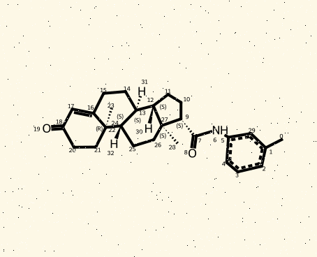 Cc1cccc(NC(=O)[C@H]2CC[C@H]3[C@@H]4CCC5=CC(=O)CC[C@]5(C)[C@H]4CC[C@]23C)c1